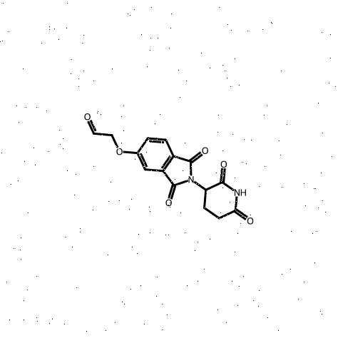 O=CCOc1ccc2c(c1)C(=O)N(C1CCC(=O)NC1=O)C2=O